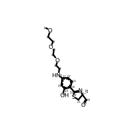 COCCOCCOCCNc1ccc(C2=N[C@@](C)(C=O)CS2)c(O)c1